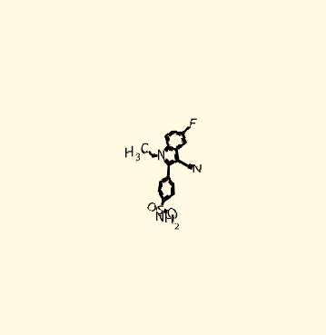 CCn1c(-c2ccc(S(N)(=O)=O)cc2)c(C#N)c2cc(F)ccc21